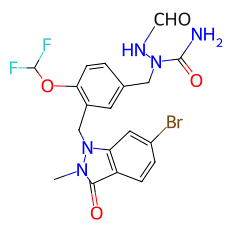 Cn1c(=O)c2ccc(Br)cc2n1Cc1cc(CN(NC=O)C(N)=O)ccc1OC(F)F